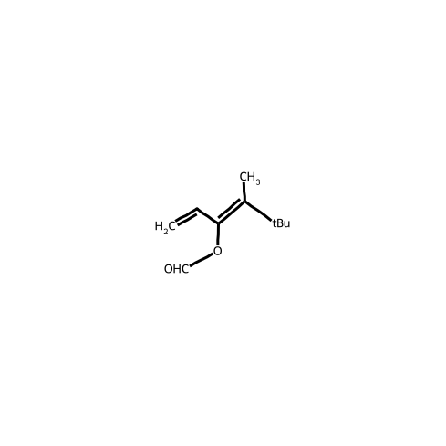 C=C/C(OC=O)=C(\C)C(C)(C)C